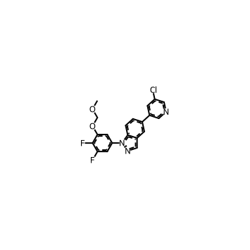 COCOc1cc(-n2ncc3cc(-c4cncc(Cl)c4)ccc32)cc(F)c1F